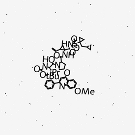 C=CC1CC1(NC(=O)C1CC(Oc2cc(-c3ccccc3)nc3cc(OC)ccc23)CN1C(=O)C(NC(=O)OC(C)(C)C)C(C)C)C(=O)NS(=O)(=O)C1(CC2CC2)CC1